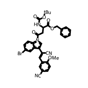 COc1ccc(C#N)cc1C=C(C#N)c1cn(C(=O)CC(NC(=O)OC(C)(C)C)C(=O)OCc2ccccc2)c2ccc(Br)cc12